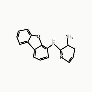 NC1CC=CN=C1Nc1cccc2c1oc1ccccc12